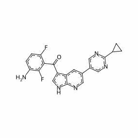 Nc1ccc(F)c(C(=O)c2c[nH]c3ncc(-c4cnc(C5CC5)nc4)cc23)c1F